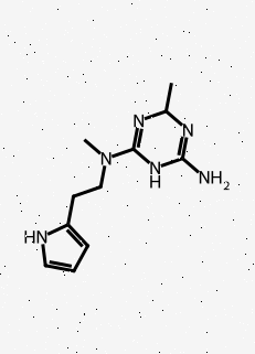 CC1N=C(N)NC(N(C)CCc2ccc[nH]2)=N1